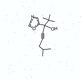 CC(C)CC#CC(O)(c1cnco1)C(C)(C)C